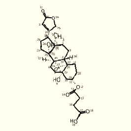 C[C@]12CC[C@H]3[C@@H](CC[C@]4(O)C[C@@H](OC(=O)CCC(=O)O)CC[C@]34C=O)[C@@]1(O)CC[C@@H]2C1=CC(=O)OC1